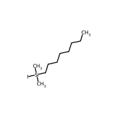 CCCCCCCC[Si](C)(C)I